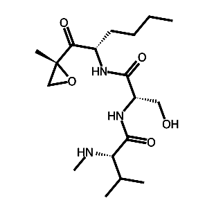 CCCC[C@H](NC(=O)[C@H](CO)NC(=O)[C@@H](NC)C(C)C)C(=O)[C@@]1(C)CO1